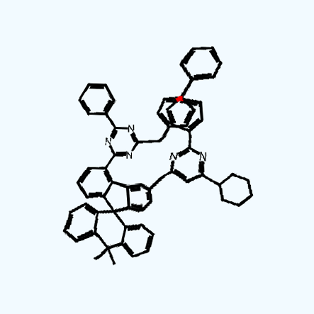 CC1(C)c2ccccc2C2(c3ccc(-c4cc(C5CCCCC5)nc(-c5ccccc5)n4)cc3-c3c(-c4nc(Cc5ccc(-c6ccccc6)cc5)nc(-c5ccccc5)n4)cccc32)c2ccccc21